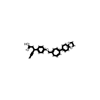 CC#CC(CC(=O)O)c1ccc(OCC2=CC=C(C3=CCC4(CC3)OCCO4)C=CC2)cc1